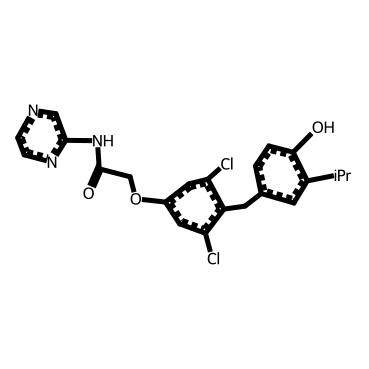 CC(C)c1cc(Cc2c(Cl)cc(OCC(=O)Nc3cnccn3)cc2Cl)ccc1O